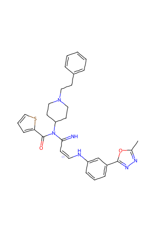 Cc1nnc(-c2cccc(N/C=C\C(=N)N(C(=O)c3cccs3)C3CCN(CCc4ccccc4)CC3)c2)o1